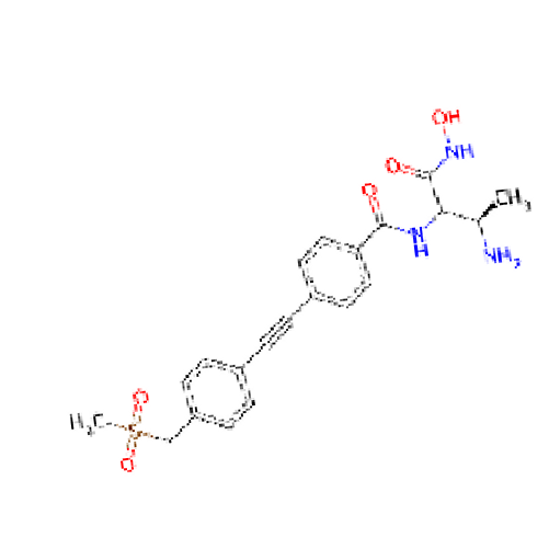 C[C@@H](N)C(NC(=O)c1ccc(C#Cc2ccc(CS(C)(=O)=O)cc2)cc1)C(=O)NO